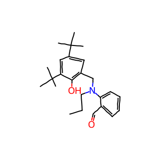 CCCN(Cc1cc(C(C)(C)C)cc(C(C)(C)C)c1O)c1ccccc1C=O